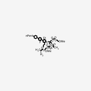 C=C(C)C(=O)OCCCc1cc(-c2ccc(C3CCC(CCCCC)CC3)cc2F)c(CC)cc1OCC(COC(=O)C(=C)C)(COC(=O)C(=O)OCCOC)COC(=O)C(=O)OCCOC